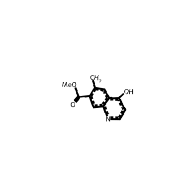 COC(=O)c1cc2nccc(O)c2cc1C